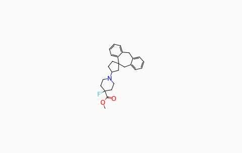 COC(=O)C1(F)CCN(C2CCC3(Cc4ccccc4Cc4ccccc43)C2)CC1